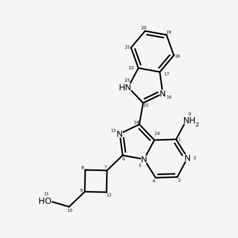 Nc1nccn2c(C3CC(CO)C3)nc(-c3nc4ccccc4[nH]3)c12